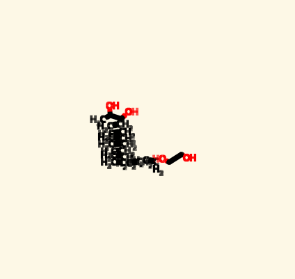 C=C.C=C.C=C.C=C.C=C.C=C.C=C.C=C.C=C.CC(O)CO.OCCO